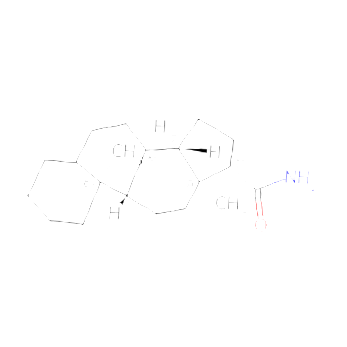 C[C@]12CC[C@H]3[C@@H](CCC4CCCC[C@@]43C)[C@@H]1CC[C@@H]2C(N)=O